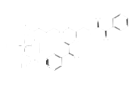 C[Si](C)(C)O[Si](C)(C)O[Si](C)(C)CCCOCC(COC(=O)C(=O)c1ccccc1)OC(=O)C(=O)c1ccccc1